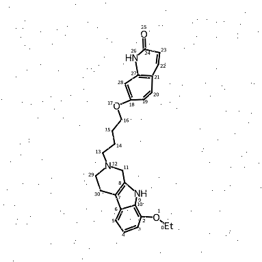 CCOc1cccc2c3c([nH]c12)CN(CCCCOc1ccc2ccc(=O)[nH]c2c1)CC3